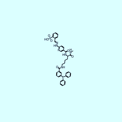 CNC(=O)C(CCCCNC(=O)c1cccc(P(c2ccccc2)c2ccccc2)c1)NC(=O)c1ccc(NN=Cc2ccccc2S(=O)(=O)O)nc1